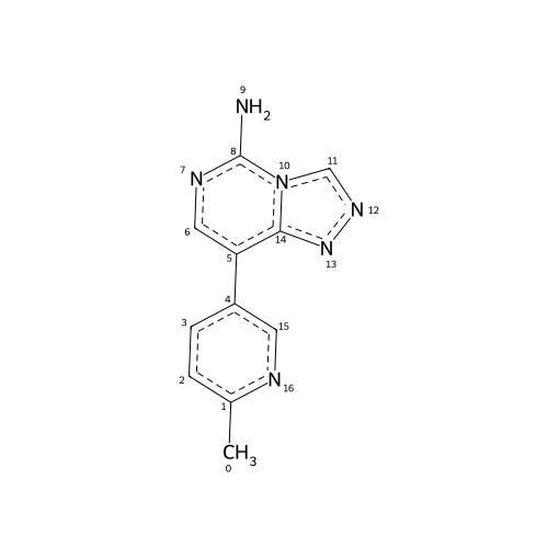 Cc1ccc(-c2cnc(N)n3cnnc23)cn1